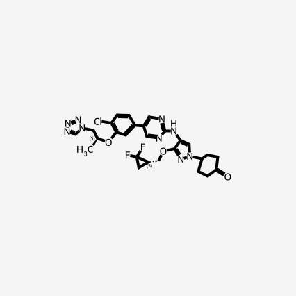 C[C@@H](Cn1cnnn1)Oc1cc(-c2cnc(Nc3cn(C4CCC(=O)CC4)nc3OC[C@@H]3CC3(F)F)nc2)ccc1Cl